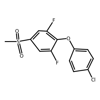 CS(=O)(=O)c1cc(F)c(Oc2ccc(Cl)cc2)c(F)c1